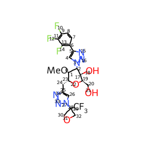 CO[C@@H]1[C@@H](n2cc(-c3ccc(F)c(F)c3F)nn2)[C@@H](O)[C@@H](CO)O[C@@H]1Cc1cn(C2(C(F)(F)F)COC2)nn1